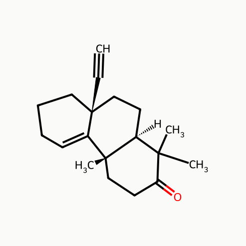 C#C[C@]12CCCC=C1[C@@]1(C)CCC(=O)C(C)(C)[C@@H]1CC2